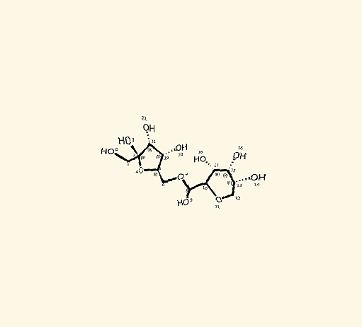 OC[C@@]1(O)O[C@H](COC(O)C2OC[C@@H](O)[C@@H](O)[C@H]2O)[C@@H](O)[C@H]1O